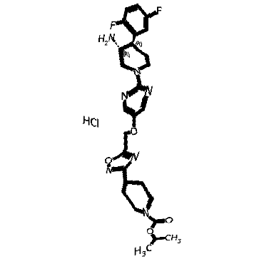 CC(C)OC(=O)N1CCC(c2noc(COc3cnc(N4CC[C@H](c5cc(F)ccc5F)[C@@H](N)C4)nc3)n2)CC1.Cl